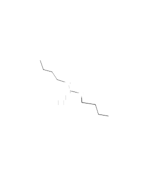 CCCC[O][Ti][O]CCCC.I.I